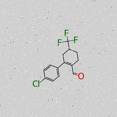 O=CC1=C(c2ccc(Cl)cc2)CC(C(F)(F)F)CC1